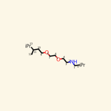 CC(C)CNCCOCCOCCC(C)C(C)C